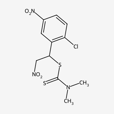 CN(C)C(=S)SC(C[N+](=O)[O-])c1cc([N+](=O)[O-])ccc1Cl